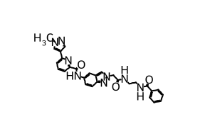 Cn1cc(-c2cccc(C(=O)Nc3ccc4nn(CC(=O)NCCNC(=O)c5ccccc5)cc4c3)n2)cn1